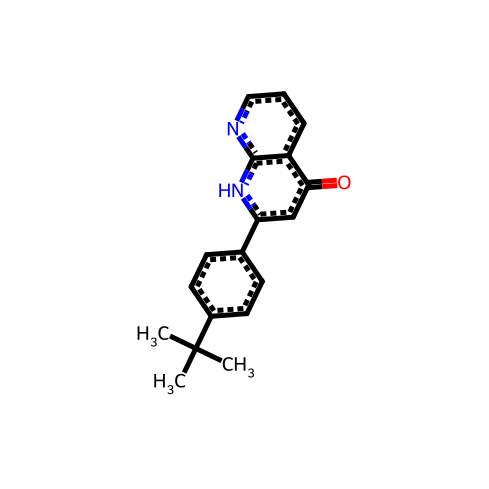 CC(C)(C)c1ccc(-c2cc(=O)c3cccnc3[nH]2)cc1